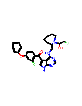 O=C(c1ccc(Oc2ccccc2)cc1Cl)c1c[nH]c2ncnc(NCC3CCCCCN3C(O)CCl)c12